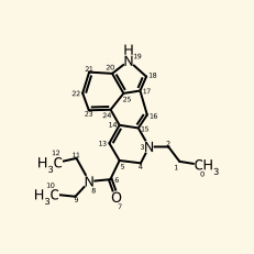 CCCN1CC(C(=O)N(CC)CC)C=c2c1cc1c[nH]c3cccc2c13